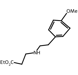 CCOC(=O)CCNCCc1ccc(OC)cc1